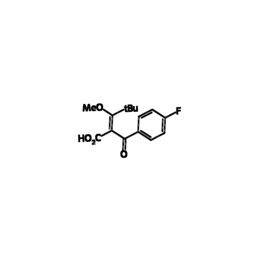 COC(=C(C(=O)O)C(=O)c1ccc(F)cc1)C(C)(C)C